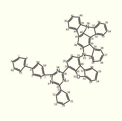 c1ccc(-c2ccc(-c3nc(-c4ccccc4)nc(-c4ccc(-n5c6ccccc6c6c7c8ccccc8n8c9ccccc9c(cc65)c78)c5c4oc4ccccc45)n3)cc2)cc1